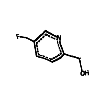 O[CH]c1ccc(F)cn1